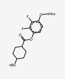 CCCCCCOc1ccc(OC(=O)C2CCC(CCCC)CC2)c(F)c1F